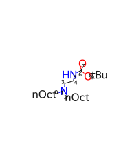 CCCCCCCCN(CCCCCCCC)CCNC(=O)OC(C)(C)C